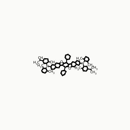 Cc1ccc(C(C)C)cc1N(c1ccc2cc3c(cc2c1)oc1c(-c2ccccc2)c2c(oc4cc5cc(N(c6cc(C(C)C)ccc6C)c6c(C)cccc6C)ccc5cc42)c(-c2ccccc2)c13)c1c(C)cccc1C